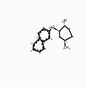 CC(C)[C@@H]1CC[C@@H](C)C[C@H]1Nc1ccc2ccccc2c1